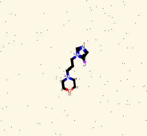 Ic1cncn1CCCN1CCOCC1